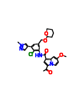 COc1ccn2c(C(C)=O)cc(C(=O)Nc3cc(COC4CCCCO4)cc(-c4cnn(C)c4)c3Cl)c2c1